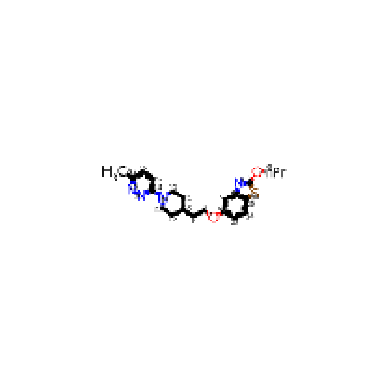 CCCOc1nc2cc(OCCC3CCN(c4ccc(C)nn4)CC3)ccc2s1